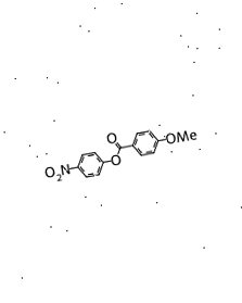 COc1ccc(C(=O)Oc2ccc([N+](=O)[O-])cc2)cc1